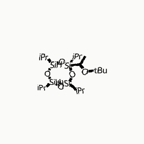 CC(C)[SiH]1O[SiH](C(C)C)O[Si](C(C)C)(C(C)OC(C)(C)C)O[SiH](C(C)C)O1